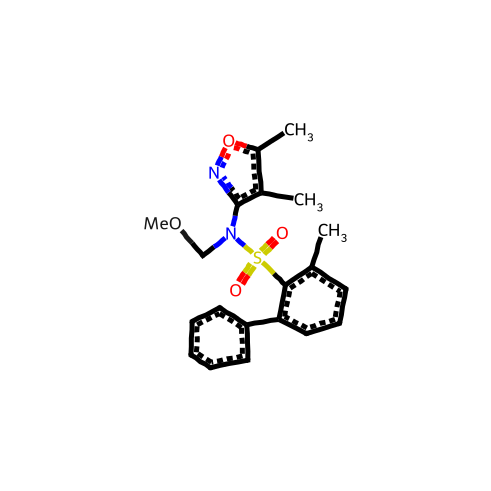 COCN(c1noc(C)c1C)S(=O)(=O)c1c(C)cccc1-c1ccccc1